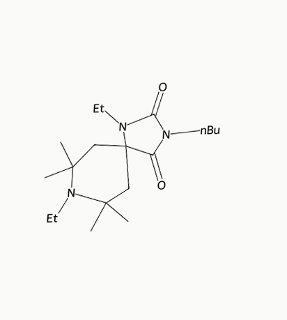 CCCCN1C(=O)N(CC)C2(CC(C)(C)N(CC)C(C)(C)C2)C1=O